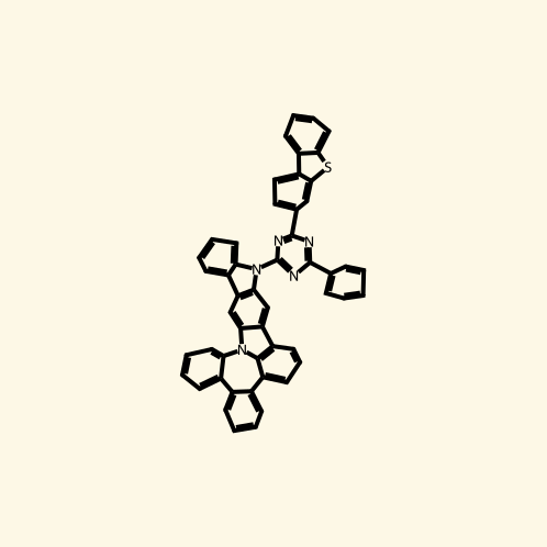 c1ccc(-c2nc(-c3ccc4c(c3)sc3ccccc34)nc(-n3c4ccccc4c4cc5c(cc43)c3cccc4c3n5-c3ccccc3-c3ccccc3-4)n2)cc1